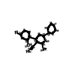 C#Cc1c(-c2ccc(F)cc2C)cc(-c2ccccc2)nc1C(C)C